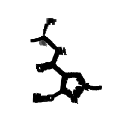 COc1nn(C)cc1C(=O)N[C@H](C)C(C)C